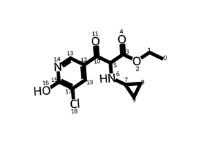 CCOC(=O)C(NC1CC1)C(=O)c1cnc(O)c(Cl)c1